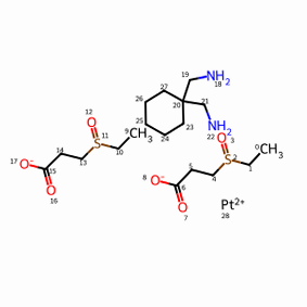 CCS(=O)CCC(=O)[O-].CCS(=O)CCC(=O)[O-].NCC1(CN)CCCCC1.[Pt+2]